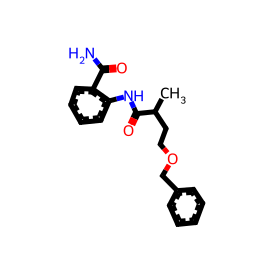 CC(CCOCc1ccccc1)C(=O)Nc1ccccc1C(N)=O